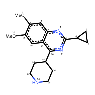 COc1cc2nc(C3CC3)nc(C3CCNCC3)c2cc1OC